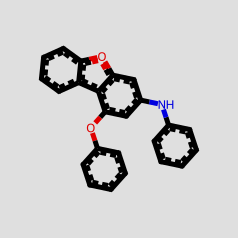 c1ccc(Nc2cc(Oc3ccccc3)c3c(c2)oc2ccccc23)cc1